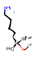 CCO[Si](CCCCCN)(OC)OC